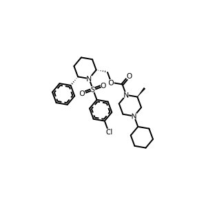 C[C@H]1CN(C2CCCCC2)CCN1C(=O)OC[C@H]1CCC[C@@H](c2ccccc2)N1S(=O)(=O)c1ccc(Cl)cc1